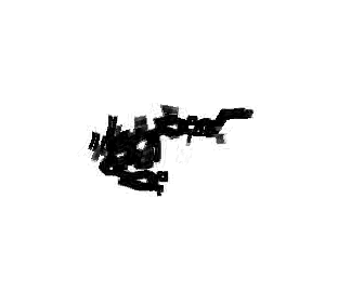 CN/N=C(C)\C=C(/C=O)Oc1c(F)cc(C(=O)N[C@H](C)C(=O)N2C(c3ccc(F)c(Cl)c3)CCC2C(C)(C)C#N)cc1F